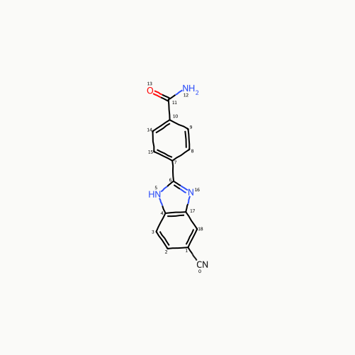 N#Cc1ccc2[nH]c(-c3ccc(C(N)=O)cc3)nc2c1